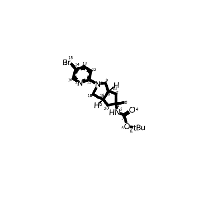 CC1(NC(=O)OC(C)(C)C)C[C@H]2CN(c3ccc(Br)cn3)C[C@H]2C1